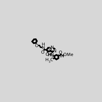 CONC(=O)c1ccc(C)c(Nc2ncnn3cc(C(=O)NCCOc4ccccc4)c(C)c23)c1